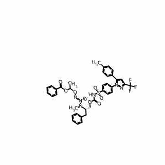 Cc1ccc(-c2cc(C(F)(F)F)nn2-c2ccc(S(=O)(=O)NC(=O)OC[C@H](Cc3ccccc3)N(C)/[N+]([O-])=N/OC(C)OC(=O)c3ccccc3)cc2)cc1